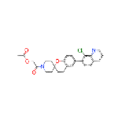 CC(=O)OCC(=O)N1CCC2(CCc3cc(-c4ccc5cccnc5c4Cl)ccc3O2)CC1